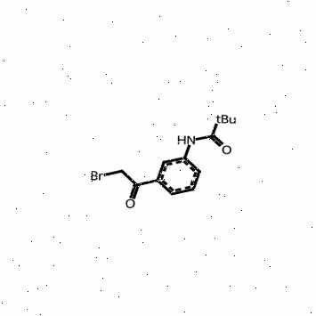 CC(C)(C)C(=O)Nc1cccc(C(=O)CBr)c1